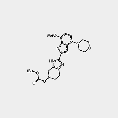 COc1ccc(N2CCOCC2)c2sc(-c3nc4c([nH]3)CN(OC(=O)OC(C)(C)C)CC4)nc12